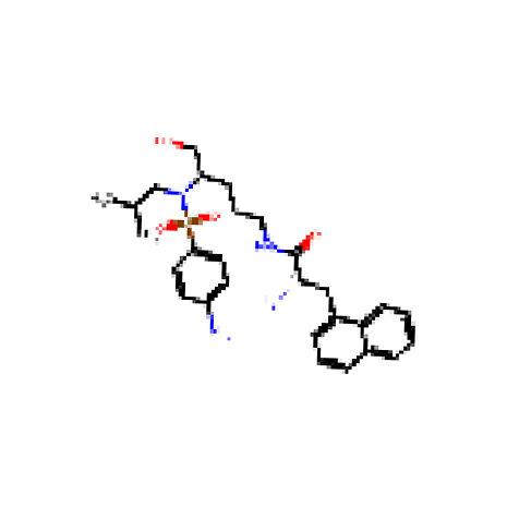 CC(C)CN(C(CO)CCCNC(=O)[C@@H](N)Cc1cccc2ccccc12)S(=O)(=O)c1ccc(N)cc1